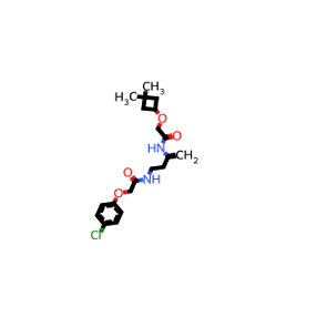 C=C(CCNC(=O)COc1ccc(Cl)cc1)NC(=O)COC1CC(C)(C)C1